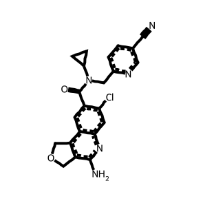 N#Cc1ccc(CN(C(=O)c2cc3c4c(c(N)nc3cc2Cl)COC4)C2CC2)nc1